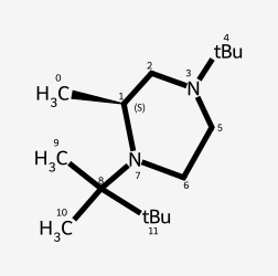 C[C@H]1CN(C(C)(C)C)CCN1C(C)(C)C(C)(C)C